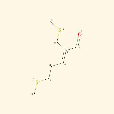 CSCCC=C(C=O)CSC